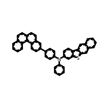 c1ccc(N(c2ccc(-c3ccc4c(ccc5ccc6ccccc6c54)c3)cc2)c2ccc3c(c2)sc2cc4ccccc4cc23)cc1